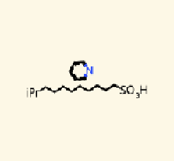 CC(C)CCCCCCCCCS(=O)(=O)O.c1ccncc1